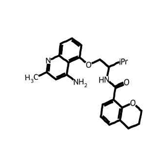 Cc1cc(N)c2c(OCC(NC(=O)c3cccc4c3OCCC4)C(C)C)cccc2n1